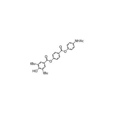 CC(=O)Nc1ccc(OC(=O)c2ccc(OC(=O)c3cc(C(C)(C)C)c(O)c(C(C)(C)C)c3)cc2)cc1